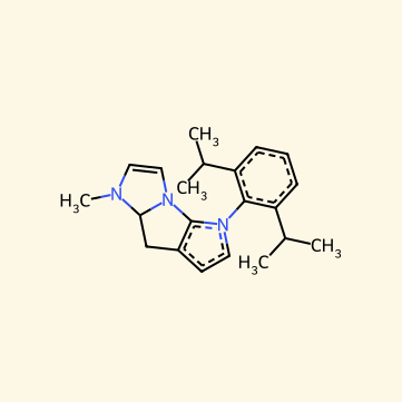 CC(C)c1cccc(C(C)C)c1-n1ccc2c1N1C=CN(C)C1C2